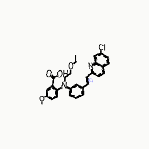 CCOCCN(c1cccc(/C=C/c2ccc3ccc(Cl)cc3n2)c1)c1ccc(OC)cc1C(=O)O